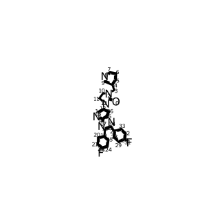 O=C1N(Cc2cccnc2)CCN1c1cnc2nc(-c3ccc(F)cc3)c(-c3ccc(F)cc3)nc2c1